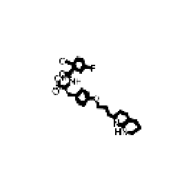 O=C(N[C@@H](Cc1ccc(OCCCc2ccc3c(n2)NCCC3)cc1)C(=O)O)c1cc(F)ccc1Cl